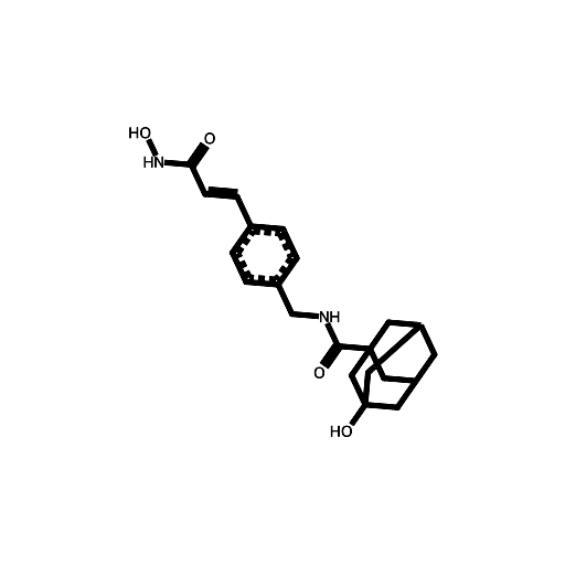 O=C(/C=C/c1ccc(CNC(=O)C23CC4CC(CC(O)(C4)C2)C3)cc1)NO